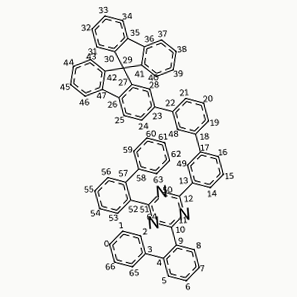 c1ccc(-c2ccccc2-c2nc(-c3cccc(-c4cccc(-c5ccc6c(c5)C5(c7ccccc7-c7ccccc75)c5ccccc5-6)c4)c3)nc(-c3ccccc3-c3ccccc3)n2)cc1